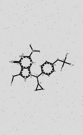 CN(C)c1nc2c(c(CF)nn2C(c2ccc(CC(F)(F)F)cc2)C2CC2)c(=O)[nH]1